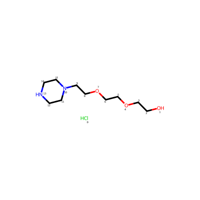 Cl.OCCOCCOCCN1CCNCC1